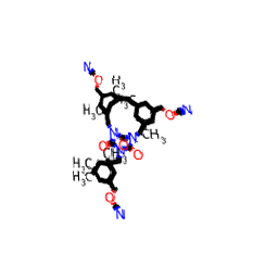 CC1(C)CC(COC#N)CC(C)(Cn2c(=O)n3c(=O)n(c2=O)CC2(C)CC(COC#N)CC(C)(C2)CC2(C)CC(COC#N)CC(C)(C3)C2)C1